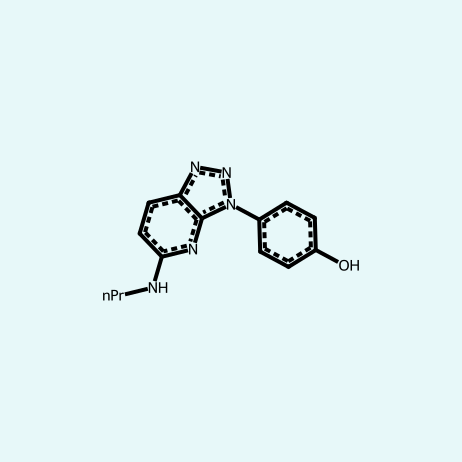 CCCNc1ccc2nnn(-c3ccc(O)cc3)c2n1